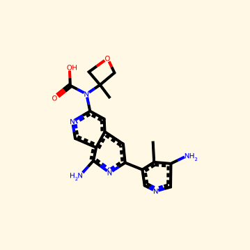 Cc1c(N)cncc1-c1cc2cc(N(C(=O)O)C3(C)COC3)ncc2c(N)n1